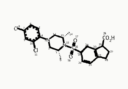 C[C@@H]1CN(c2ccc(Cl)cc2Cl)C[C@H](C)N1S(=O)(=O)C1C=CC2=C(C1)C(C(=O)O)CC2